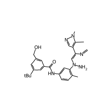 C=N/C(=C\N(N)c1cc(NC(=O)c2cc(CO)cc(C(C)(C)C)c2)ccc1C)c1cnn(C)c1C